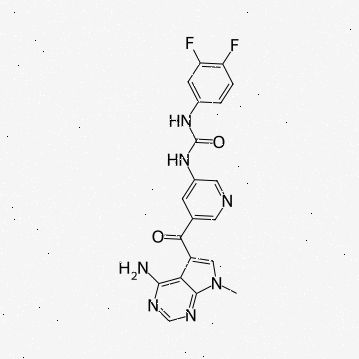 Cn1cc(C(=O)c2cncc(NC(=O)Nc3ccc(F)c(F)c3)c2)c2c(N)ncnc21